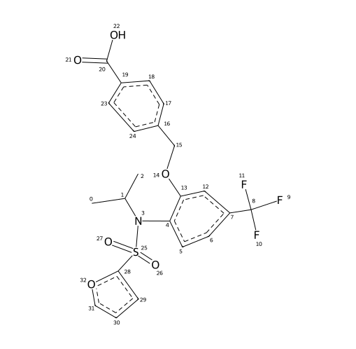 CC(C)N(c1ccc(C(F)(F)F)cc1OCc1ccc(C(=O)O)cc1)S(=O)(=O)c1ccco1